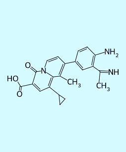 CC(=N)c1cc(-c2ccn3c(=O)c(C(=O)O)cc(C4CC4)c3c2C)ccc1N